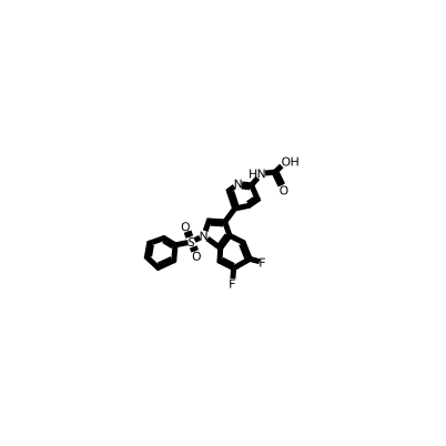 O=C(O)Nc1ccc(-c2cn(S(=O)(=O)c3ccccc3)c3cc(F)c(F)cc23)cn1